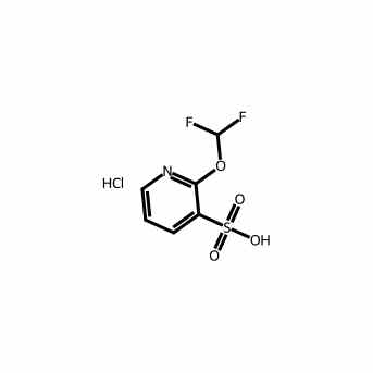 Cl.O=S(=O)(O)c1cccnc1OC(F)F